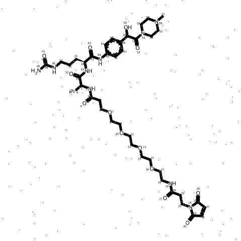 CC(C)C(NC(=O)CCOCCOCCOCCOCCNC(=O)CCN1C(=O)C=CC1=O)C(=O)N[C@@H](CCCNC(N)=O)C(=O)Nc1ccc(C(O)C(=O)N2CCN(C)CC2)cc1